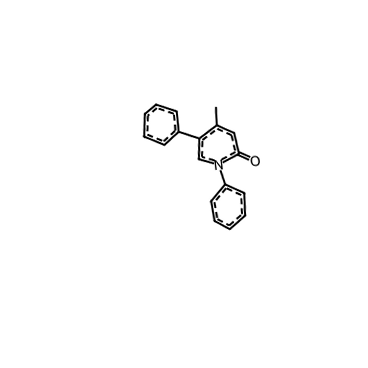 Cc1cc(=O)n(-c2ccccc2)cc1-c1ccccc1